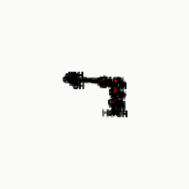 CC(C)(C)C(c1ccccc1)C(O)(C(=O)O)C(C)(C)C.CC(C)(C)C(c1ccccc1)C(O)(C(=O)O)C(C)(C)C.CC(C)(C)C(c1ccccc1)C(O)(C(=O)O)C(C)(C)C.CC(C)(C)C(c1ccccc1)C(O)(C(=O)O)C(C)(C)C.CCCCCCCCCCCCCc1c(C(=O)O)ccc(C(=O)O)c1C(=O)O.OCC(CO)(CO)CO